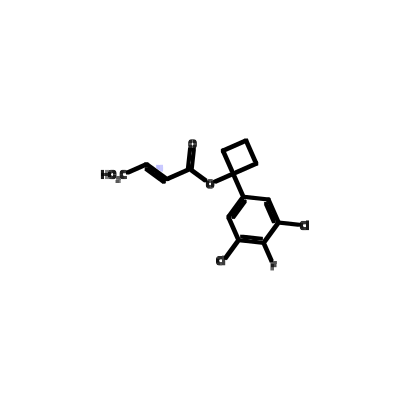 O=C(O)/C=C/C(=O)OC1(c2cc(Cl)c(F)c(Cl)c2)CCC1